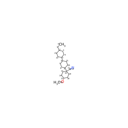 CCC1CCC(C2CCC(C3(C#N)CCC(OC)CC3)CC2)CC1